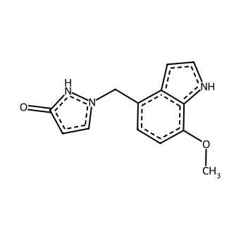 COc1ccc(Cn2ccc(=O)[nH]2)c2cc[nH]c12